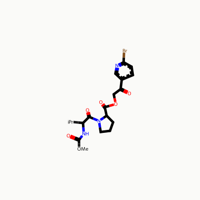 COC(=O)NC(C(=O)N1CCCC1C(=O)OCC(=O)c1ccc(Br)nc1)C(C)C